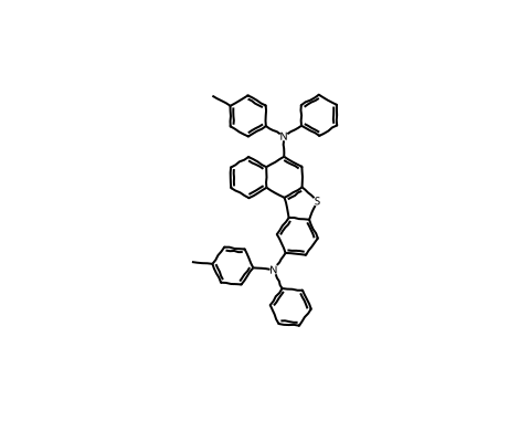 Cc1ccc(N(c2ccccc2)c2ccc3sc4cc(N(c5ccccc5)c5ccc(C)cc5)c5ccccc5c4c3c2)cc1